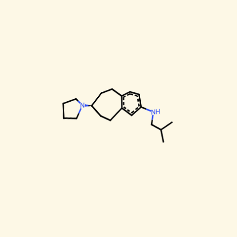 CC(C)CNc1ccc2c(c1)CC[C@@H](N1CCCC1)CC2